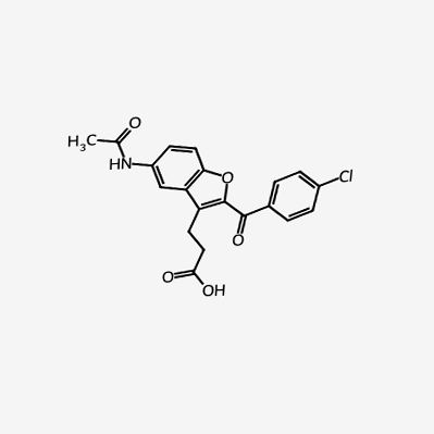 CC(=O)Nc1ccc2oc(C(=O)c3ccc(Cl)cc3)c(CCC(=O)O)c2c1